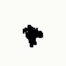 CC(C)(ON=C(C(=O)NC1C(=O)N2CC(CI)(C(=O)OC(c3ccccc3)c3ccccc3)C[S+]([O-])[C@H]12)c1csc(NC(c2ccccc2)(c2ccccc2)c2ccccc2)n1)C(=O)OC(c1ccccc1)c1ccccc1